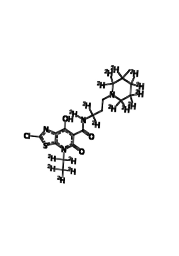 [2H]N(C(=O)c1c(O)c2nc(Cl)sc2n(C([2H])([2H])C([2H])([2H])[2H])c1=O)C([2H])([2H])CCN1C([2H])([2H])C([2H])([2H])C([2H])([2H])C([2H])(C)C1([2H])[2H]